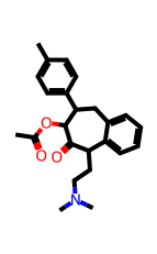 CC(=O)OC1C(=O)C(CCN(C)C)c2ccccc2CC1c1ccc(C)cc1